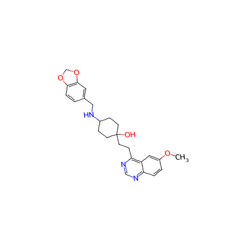 COc1ccc2ncnc(CCC3(O)CCC(NCc4ccc5c(c4)OCO5)CC3)c2c1